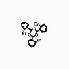 Brc1ccccc1C1OC(c2ccccc2Br)OC(c2ccccc2Br)O1